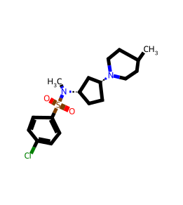 CC1CCN([C@@H]2CC[C@H](N(C)S(=O)(=O)c3ccc(Cl)cc3)C2)CC1